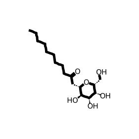 CCCCCCCCCC(=O)C[C@@H]1O[C@H](CO)[C@H](O)[C@H](O)[C@H]1O